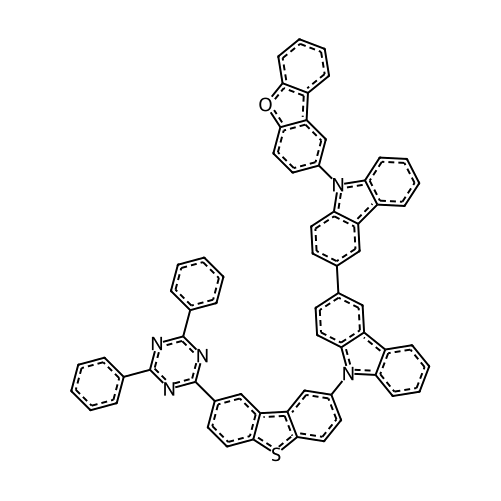 c1ccc(-c2nc(-c3ccccc3)nc(-c3ccc4sc5ccc(-n6c7ccccc7c7cc(-c8ccc9c(c8)c8ccccc8n9-c8ccc9oc%10ccccc%10c9c8)ccc76)cc5c4c3)n2)cc1